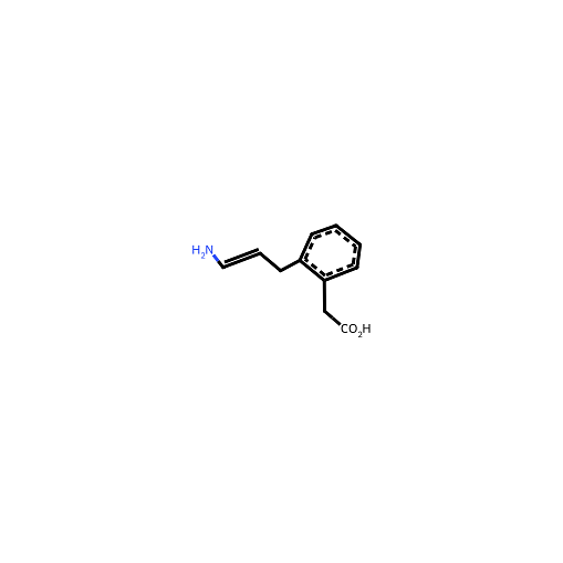 NC=CCc1ccccc1CC(=O)O